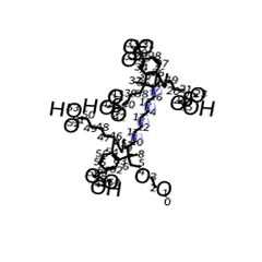 COCCOCCC1(C)C(/C=C/C=C/C=C/C=C2/N(CCCS(=O)(=O)O)c3ccc(S(=O)(=O)[O-])cc3C2(C)CCCS(=O)(=O)O)=[N+](CCCCCC(=O)O)c2ccc(S(=O)(=O)O)cc21